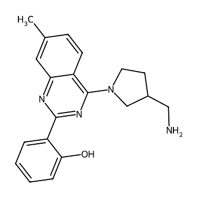 Cc1ccc2c(N3CCC(CN)C3)nc(-c3ccccc3O)nc2c1